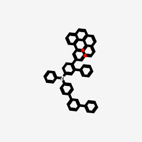 C1=C(N(c2ccccc2)c2ccc(-c3cccc(-c4ccccc4)c3)cc2)CCC(c2cccc(-c3cccc4ccc5ccc6ccccc6c5c34)c2)=C1c1ccccc1